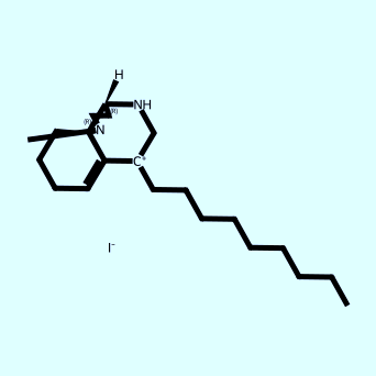 CCCCCCCCC[C+]1CN[C@@H]2CCN(C)[C@@]23CCCC=C13.[I-]